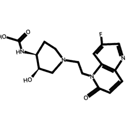 O=C(O)N[C@H]1CCN(CCn2c(=O)ccc3ncc(F)cc32)C[C@H]1O